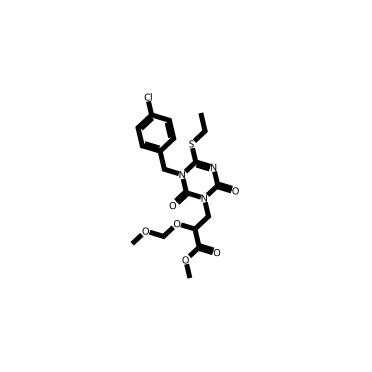 CCSc1nc(=O)n(CC(OCOC)C(=O)OC)c(=O)n1Cc1ccc(Cl)cc1